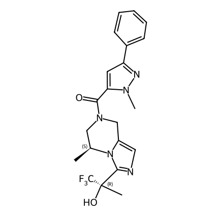 C[C@H]1CN(C(=O)c2cc(-c3ccccc3)nn2C)Cc2cnc([C@@](C)(O)C(F)(F)F)n21